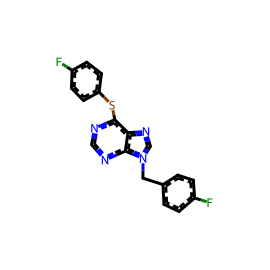 Fc1ccc(Cn2cnc3c(Sc4ccc(F)cc4)ncnc32)cc1